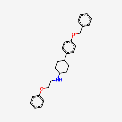 c1ccc(COc2ccc([C@H]3CC[C@H](NCCOc4ccccc4)CC3)cc2)cc1